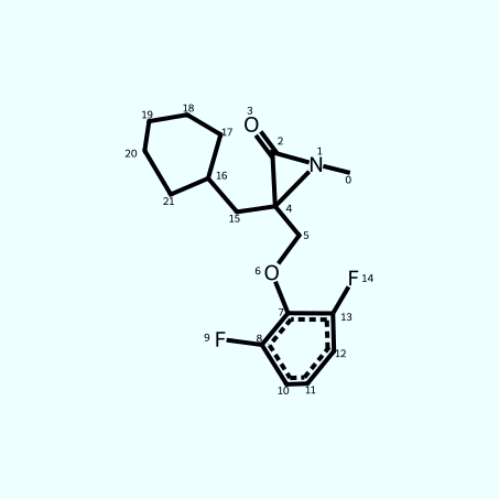 CN1C(=O)C1(COc1c(F)cccc1F)CC1CCCCC1